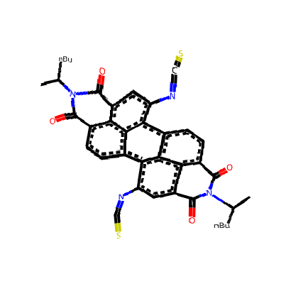 CCCCC(C)N1C(=O)c2ccc3c4c(N=C=S)cc5c6c(ccc(c7c(N=C=S)cc(c2c37)C1=O)c64)C(=O)N(C(C)CCCC)C5=O